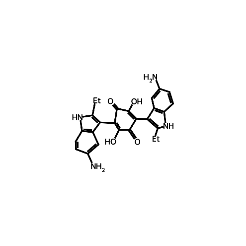 CCc1[nH]c2ccc(N)cc2c1C1=C(O)C(=O)C(c2c(CC)[nH]c3ccc(N)cc23)=C(O)C1=O